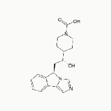 O=C(O)N1CCC([C@H](O)C[C@@H]2c3ccccc3-c3cncn32)CC1